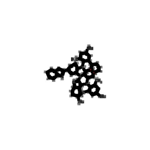 Cc1cc(C(C)(C)C)cc(C)c1N1c2cccc3c2B(c2cc(-c4cc5ccccc5s4)ccc2N3c2c(C)cc(C(C)(C)C)cc2-c2ccccc2)c2oc3ccc(C(C)(C)C)cc3c21